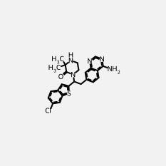 CC1(C)NCCN(C(Cc2ccc3c(N)ncnc3c2)c2cc3ccc(Cl)cc3s2)C1=O